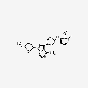 COc1c(F)cccc1Oc1ccc(-c2nc(C3CCC(CO)OC3)n3ccnc(N)c23)cc1